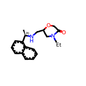 CCN1CC(CN[C@H](C)c2cccc3ccccc23)OCC1=O